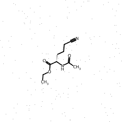 CCOC(=O)[C@H](CCCC#N)NC(C)=O